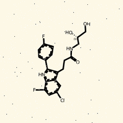 O=C(CCc1c(-c2ccc(F)cc2)[nH]c2c(F)cc(Cl)cc12)NC[C@H](O)CO